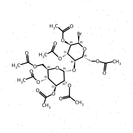 CC(=O)OC[C@H]1O[C@H](Br)[C@H](OC(C)=O)[C@@H](OC(C)=O)[C@@H]1O[C@H]1O[C@H](COC(C)=O)[C@@H](OC(C)=O)[C@H](OC(C)=O)[C@H]1OC(C)=O